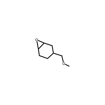 CO[CH]C1CCC2OC2C1